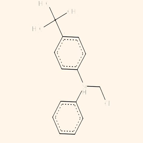 CC(C)(C)c1ccc([SiH](CCl)c2ccccc2)cc1